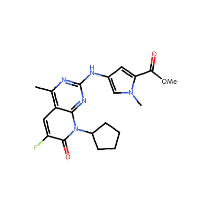 COC(=O)c1cc(Nc2nc(C)c3cc(F)c(=O)n(C4CCCC4)c3n2)cn1C